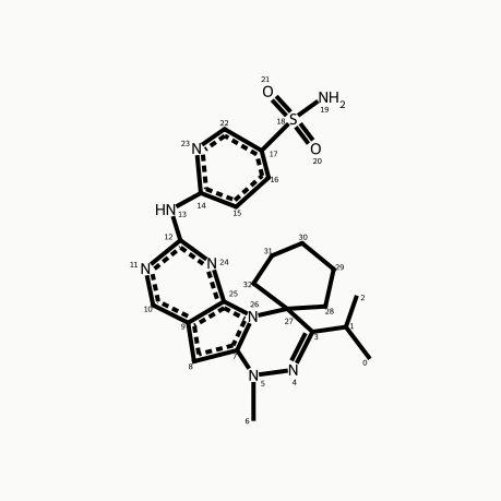 CC(C)C1=NN(C)c2cc3cnc(Nc4ccc(S(N)(=O)=O)cn4)nc3n2C12CCCCC2